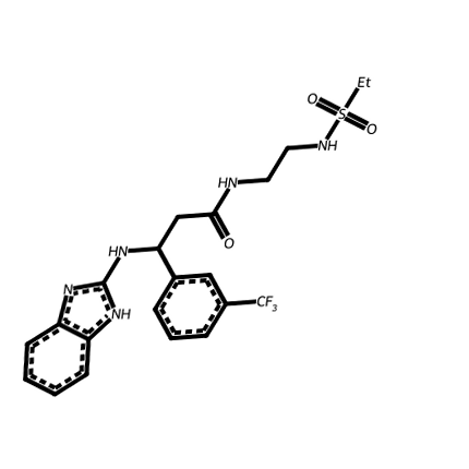 CCS(=O)(=O)NCCNC(=O)CC(Nc1nc2ccccc2[nH]1)c1cccc(C(F)(F)F)c1